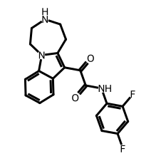 O=C(Nc1ccc(F)cc1F)C(=O)c1c2n(c3ccccc13)CCNCC2